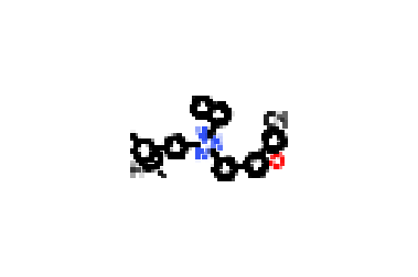 CC1C[C@@H]2C[C@H](C)CC(c3ccc(-c4nc(-c5cccc(-c6ccc7oc8ccc(C#N)cc8c7c6)c5)nc(-c5cccc6ccccc56)n4)cc3)(C1)C2